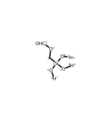 [3H]O[Si](COC=O)(O[3H])O[3H]